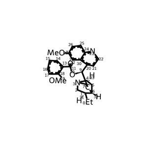 CC[C@H]1CN2CC[C@H]1C[C@@H]2[C@@H](OC(=O)c1ccccc1OC)c1ccnc2ccc(OC)cc12